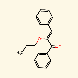 CCCOC(=Cc1ccccc1)C(=O)c1ccccc1